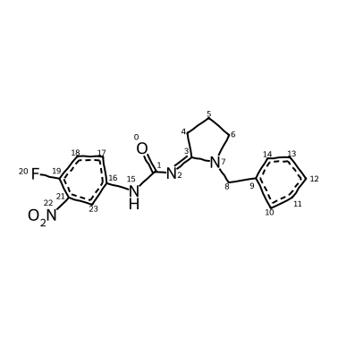 O=C(N=C1CCCN1Cc1ccccc1)Nc1ccc(F)c([N+](=O)[O-])c1